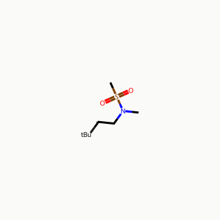 CN(C[CH]C(C)(C)C)S(C)(=O)=O